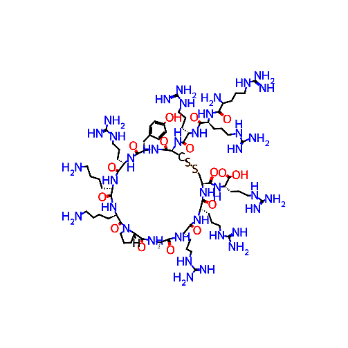 C[C@@H]1NC(=O)[C@@H]2CCCN2C(=O)[C@@H](CCCCN)NC(=O)[C@H](CCCCN)NC(=O)[C@H](CCCNC(=N)N)NC(=O)[C@H](Cc2ccc(O)cc2)NC(=O)[C@@H](NC(=O)[C@H](CCCNC(=N)N)NC(=O)[C@H](CCCNC(=N)N)NC(=O)[C@@H](N)CCCNC(=N)N)CSSC[C@@H](C(=O)N[C@@H](CCCNC(=N)N)C(=O)O)NC(=O)[C@H](CCCNC(=N)N)NC(=O)[C@H](CCCNC(=N)N)NC1=O